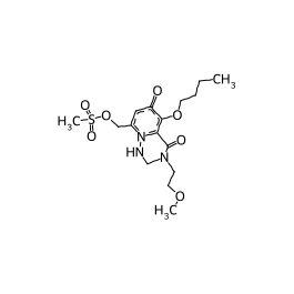 CCCCOc1c2n(c(COS(C)(=O)=O)cc1=O)NCN(CCOC)C2=O